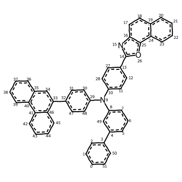 c1ccc(-c2cccc(N(c3ccc(-c4nc5ccc6ccccc6c5o4)cc3)c3ccc(-c4cc5ccccc5c5ccccc45)cc3)c2)cc1